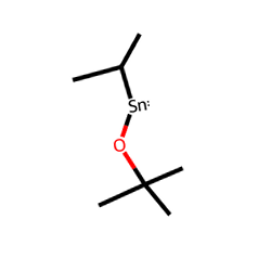 C[CH](C)[Sn][O]C(C)(C)C